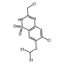 CCC(CC)Sc1cc2c(cc1Cl)N=C(CCl)NS2(=O)=O